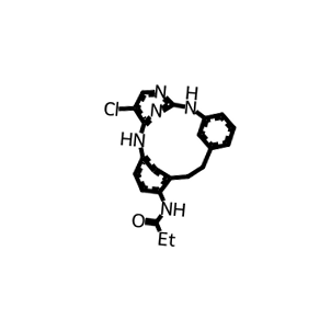 CCC(=O)Nc1ccc2cc1CCc1cccc(c1)Nc1ncc(Cl)c(n1)N2